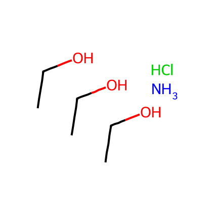 CCO.CCO.CCO.Cl.N